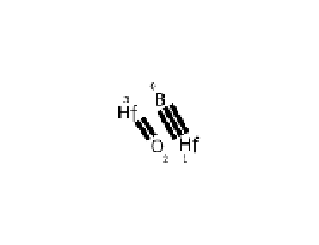 [B]#[Hf].[O]=[Hf]